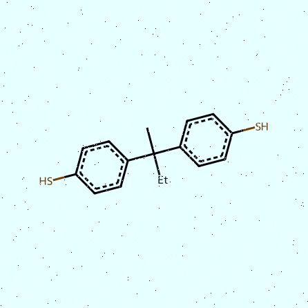 CCC(C)(c1ccc(S)cc1)c1ccc(S)cc1